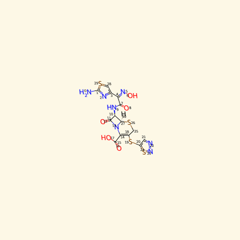 Nc1nc(/C(=N/O)C(=O)N[C@@H]2C(=O)N3C(C(=O)O)=C(Sc4cnns4)CS[C@H]23)cs1